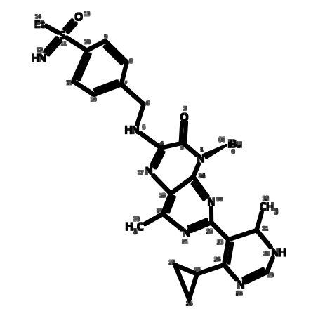 CC[C@H](C)n1c(=O)c(NCc2ccc(S(=N)(=O)CC)cc2)nc2c(C)nc(C3=C(C4CC4)N=CNC3C)nc21